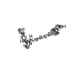 Cn1ncc2nc(NCCOCCOCCOCCOCC(=O)N[C@H](C(=O)N3CC[C@@H](O)C3)C(C)(C)C)nc(NC3CCC(N4CCOCC4)CC3)c21